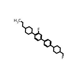 CCCC1CCC(c2ccc(-c3ccc(C4CCC(CF)CC4)cc3)cc2F)CC1